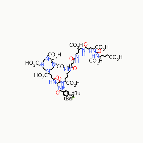 CC(C)(C)[Si](F)(c1ccc(C(=O)NC[C@H](NC(=O)CC[C@@H](C(=O)O)N2CCN(CC(=O)O)CCN(CC(=O)O)CCN(CC(=O)O)CC2)C(=O)N[C@@H](CCCCNC(=O)CCC(=O)NCCC[C@@H](NC(=O)CC[C@H](NC(=O)N[C@@H](CCCC(=O)O)C(=O)O)C(=O)O)C(=O)O)C(=O)O)cc1)C(C)(C)C